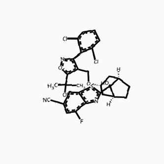 CC(C)(O)c1onc(-c2c(Cl)cccc2Cl)c1CO[C@@H]1C[C@H]2CC[C@@H](C1)[C@]2(O)c1nc2c(F)cc(C#N)cc2s1